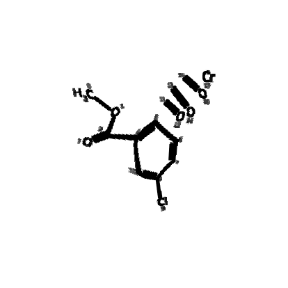 COC(=O)c1cccc(Cl)c1.[C]=O.[C]=O.[C]=O.[Cr]